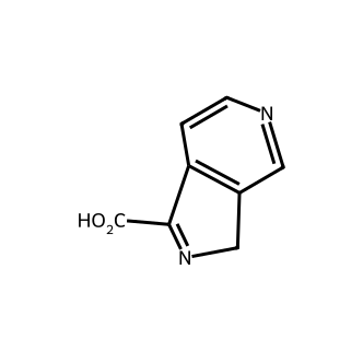 O=C(O)C1=NCc2cnccc21